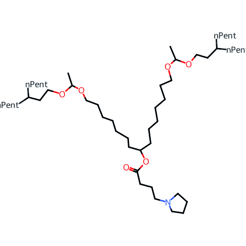 CCCCCC(CCCCC)CCOC(C)OCCCCCCCC(CCCCCCCOC(C)OCCC(CCCCC)CCCCC)OC(=O)CCCN1CCCC1